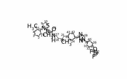 Cc1cccc(C)c1N1CCS/C1=N\C(=O)NCCC(C)Cc1ccc(-c2ncn(-c3ccc(OC(F)(F)F)cc3)n2)cc1